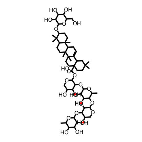 CC1OC(OC2C(O)COC(OC3C(C)OC(OC4C(OC(=O)C56CCC(C)(C)CC5C5=CCC7C8(C)CCC(OC9OC(CO)C(O)C(O)C9O)C(C)(C)C8CCC7(C)C5(C)CC6O)OCC(O)C4O)C(O)C3O)C2O)C(O)C(O)C1O